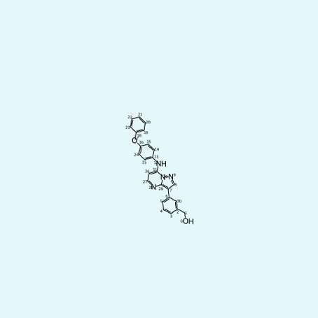 OCc1cccc(-c2cnn3c(Nc4ccc(Oc5ccccc5)cc4)ccnc23)c1